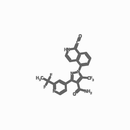 CC(F)(F)c1cc(-c2nn(-c3cccc4c3C=CNC4=C=O)c(C(F)(F)F)c2C(N)=O)ccn1